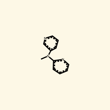 CN(c1cccnc1)c1cc[c]cn1